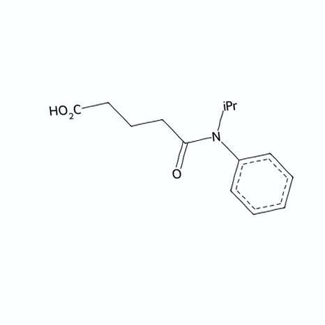 CC(C)N(C(=O)CCCC(=O)O)c1ccccc1